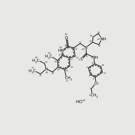 CCOc1ccc(NC(=S)N(Cc2cc3cc(C)c(CN(CC)CC)c(C)c3[nH]c2=O)C2CCNC2)cc1.Cl